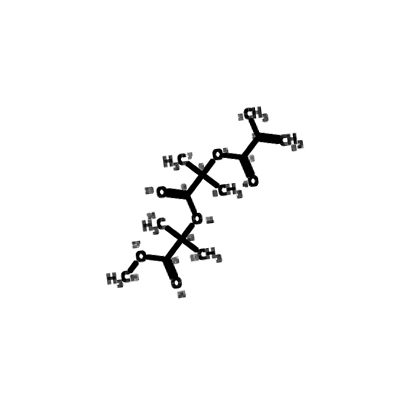 C=C(C)C(=O)OC(C)(C)C(=O)OC(C)(C)C(=O)OC